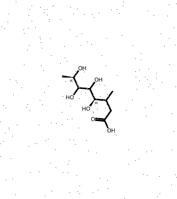 CC(CC(=O)O)[C@@H](O)C(O)C(O)[C@@H](C)O